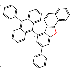 c1ccc(-c2cc(-c3c4ccccc4c(-c4ccccc4)c4ccccc34)c3c(c2)oc2c4ccccc4ccc23)cc1